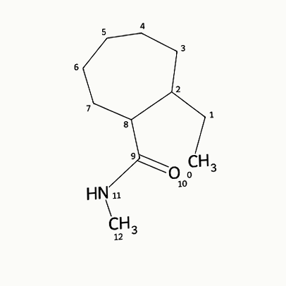 CCC1CCCCCC1C(=O)NC